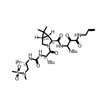 C=CCNC(=O)C(=O)C(CCCC)NC(=O)[C@@H]1[C@@H]2[C@H](CN1C(=O)[C@@H](NC(=O)N[C@H](CN(C)S(C)(=O)=O)C(C)C)C(C)(C)C)C2(C)C